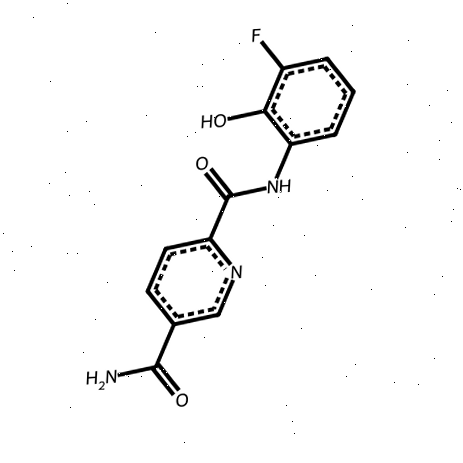 NC(=O)c1ccc(C(=O)Nc2cccc(F)c2O)nc1